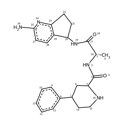 C[C@H](NC(=O)C1CC(c2ccccc2)CCN1)C(=O)NC1CCc2nc(N)ccc21